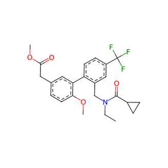 CCN(Cc1cc(C(F)(F)F)ccc1-c1cc(CC(=O)OC)ccc1OC)C(=O)C1CC1